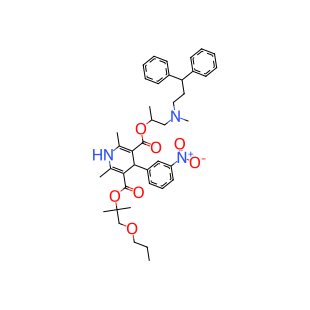 CCCOCC(C)(C)OC(=O)C1=C(C)NC(C)=C(C(=O)OC(C)CN(C)CCC(c2ccccc2)c2ccccc2)C1c1cccc([N+](=O)[O-])c1